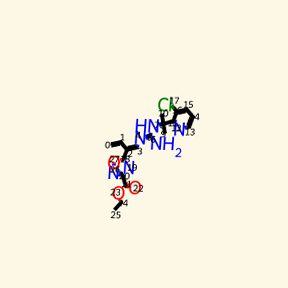 C=C/C(=C\N=C(/N)NC(C)(C)c1ncccc1Cl)c1nc(C(=O)OCC)no1